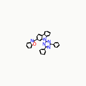 c1ccc(-c2nc(-c3ccccc3)nc(-n3c4ccccc4c4ccc(-c5nc6ccccc6o5)cc43)n2)cc1